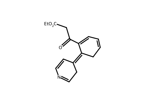 CCOC(=O)CC(=O)C1=CC=CCC1=C1C=CN=CC1